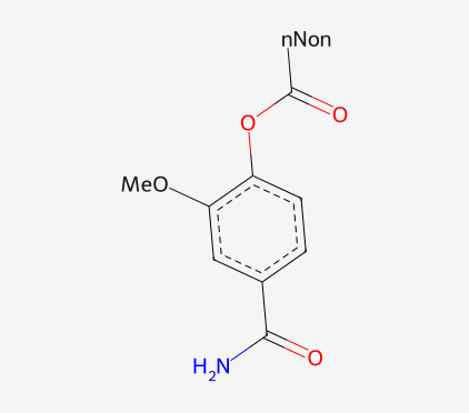 CCCCCCCCCC(=O)Oc1ccc(C(N)=O)cc1OC